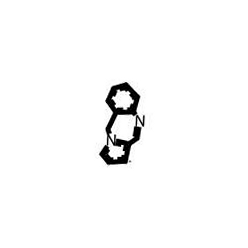 [c]1ccn2c1C=Nc1ccccc1C2